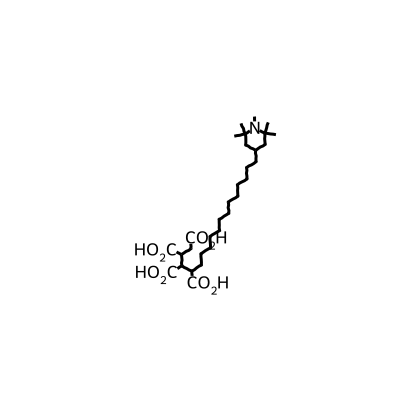 CN1C(C)(C)CC(CCCCCCCCCCCCCC(C(=O)O)C(C(=O)O)C(CC(=O)O)C(=O)O)CC1(C)C